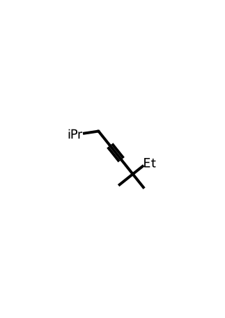 [CH2]C(C)CC#CC(C)(C)CC